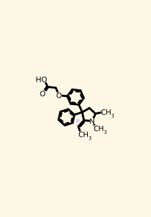 C/C=C1\N(C)C(C)CC1(c1ccccc1)c1cccc(OCC(=O)O)c1